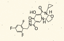 O=C(NCc1c(F)cc(F)cc1F)c1cn2c(c(O)c1=O)C(=O)N(C1CC1)[C@H]1OCC[C@H]12